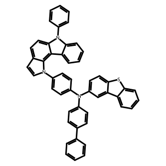 c1ccc(-c2ccc(N(c3ccc(-n4ccc5ccc6c(c7ccccc7n6-c6ccccc6)c54)cc3)c3ccc4sc5ccccc5c4c3)cc2)cc1